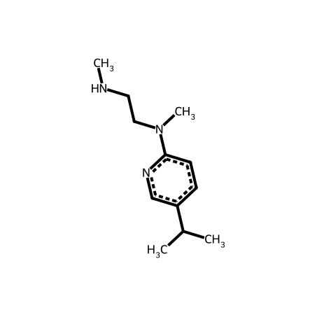 CNCCN(C)c1ccc(C(C)C)cn1